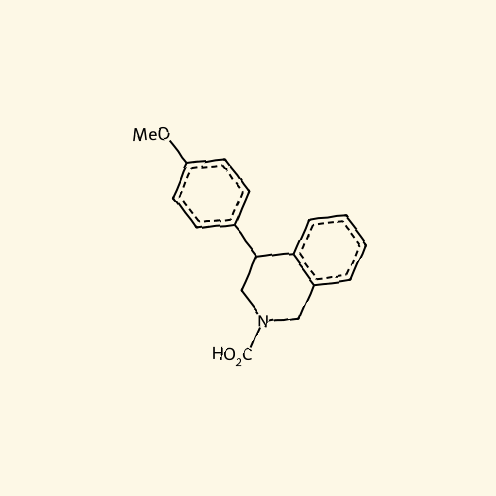 COc1ccc(C2CN(C(=O)O)Cc3ccccc32)cc1